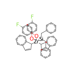 Fc1ccc([O][Zr]([O]c2ccc(F)cc2)([CH]2C=Cc3ccccc32)([CH]2C=Cc3ccccc32)=[Si](Cc2ccccc2)Cc2ccccc2)cc1